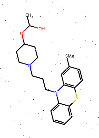 CSc1ccc2c(c1)N(CCCN1CCC(OC(C)O)CC1)c1ccccc1S2